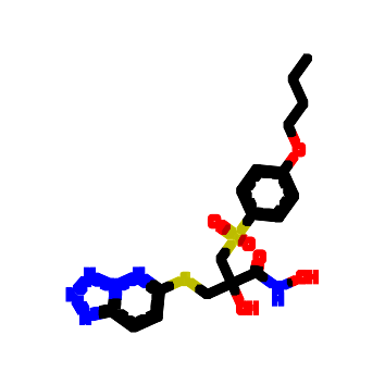 CCCCOc1ccc(S(=O)(=O)CC(O)(CSc2ccc3nnnn3n2)C(=O)NO)cc1